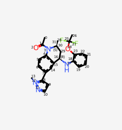 CC(=O)N1c2ccc(-c3ccnn3C)cc2[C@H](Nc2ccccc2OC(C)(F)F)C[C@@H]1C